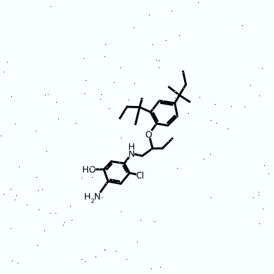 CCC(CNc1cc(O)c(N)cc1Cl)Oc1ccc(C(C)(C)CC)cc1C(C)(C)CC